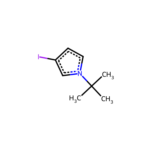 CC(C)(C)n1ccc(I)c1